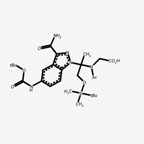 CC(=O)N(CC(=O)O)C(C)(CO[Si](C)(C)C(C)(C)C)n1nc(C(N)=O)c2cc(NC(=O)OC(C)(C)C)ccc21